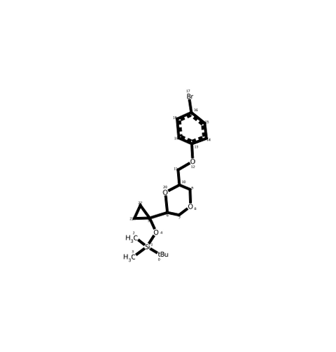 CC(C)(C)[Si](C)(C)OC1(C2COCC(COc3ccc(Br)cc3)O2)CC1